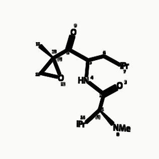 CN[C@H](C(=O)NC(CC(C)C)C(=O)[C@@]1(C)CO1)C(C)C